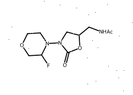 CC(=O)NCC1CN(N2CCOCC2F)C(=O)O1